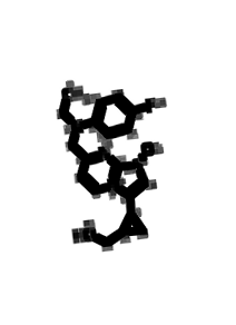 CCN(Cc1cc[n+]2c(C3CC3CO)c[s+]([O-])c2n1)c1ccc(F)cc1